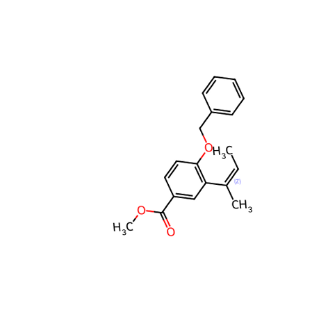 C/C=C(/C)c1cc(C(=O)OC)ccc1OCc1ccccc1